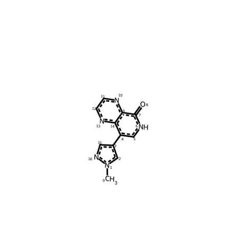 Cn1cc(-c2c[nH]c(=O)c3nccnc23)cn1